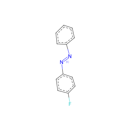 Fc1ccc(/N=N/c2ccccc2)cc1